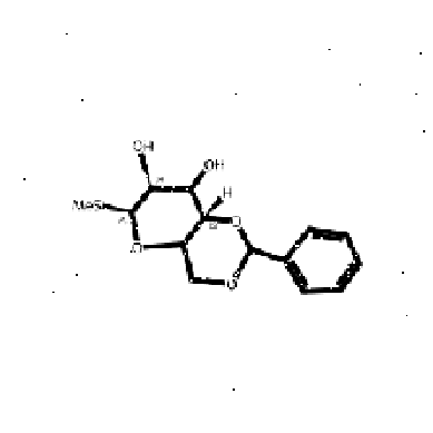 CS[C@@H]1OC2COC(c3ccccc3)O[C@H]2C(O)[C@@H]1O